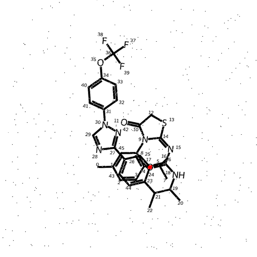 Cc1ccc(C(C)C)c(N2C(=O)CS/C2=N/C(=O)NC(C)C(C)c2ccc(-c3ncn(-c4ccc(OC(F)(F)F)cc4)n3)cc2)c1